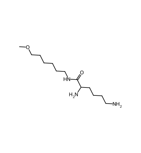 COCCCCCCNC(=O)C(N)CCCCN